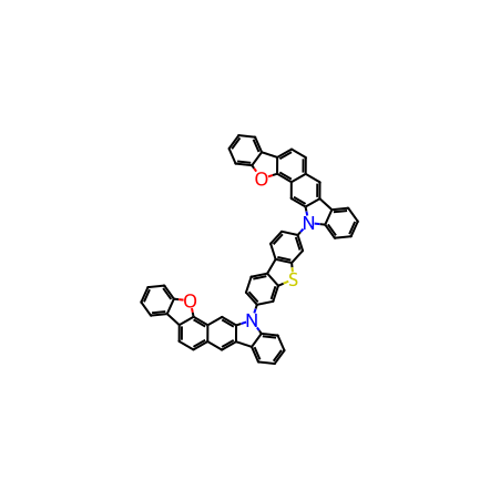 c1ccc2c(c1)oc1c3cc4c(cc3ccc21)c1ccccc1n4-c1ccc2c(c1)sc1cc(-n3c4ccccc4c4cc5ccc6c7ccccc7oc6c5cc43)ccc12